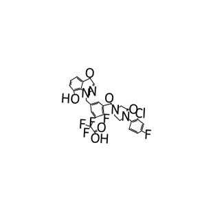 O=C(O)C(F)(F)F.O=C(c1cc(Cn2ncc(=O)c3cccc(O)c32)ccc1F)N1CCN(c2ccc(F)cc2Cl)C(=O)C1